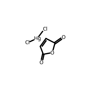 O=C1C=CC(=O)O1.[Cl][Hg][Cl]